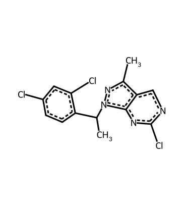 Cc1nn(C(C)c2ccc(Cl)cc2Cl)c2nc(Cl)ncc12